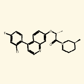 C[C@H]1CCCN(C(=O)[C@@H](C)Oc2ccc3c(-c4ccc(F)cc4Cl)ccnc3c2)C1